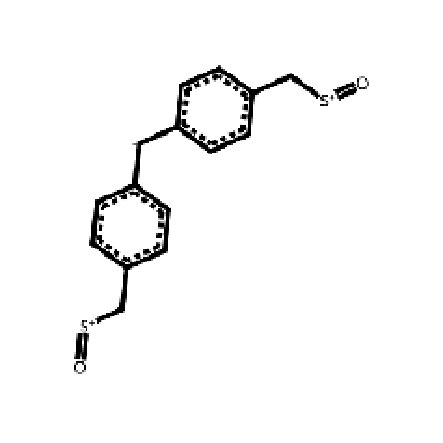 O=[S+]Cc1ccc([CH]c2ccc(C[S+]=O)cc2)cc1